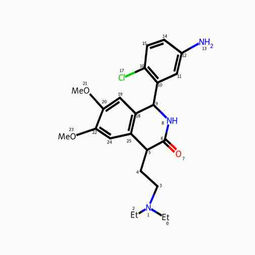 CCN(CC)CCC1C(=O)NC(c2cc(N)ccc2Cl)c2cc(OC)c(OC)cc21